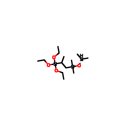 CCO[Si](OCC)(OCC)C(C)C[Si](C)(C)O[SiH](C)C